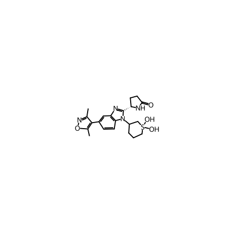 Cc1noc(C)c1-c1ccc2c(c1)nc([C@@H]1CCC(=O)N1)n2C1CCCS(O)(O)C1